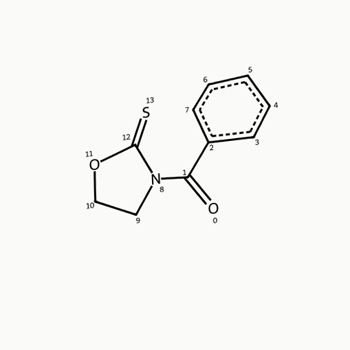 O=C(c1ccccc1)N1CCOC1=S